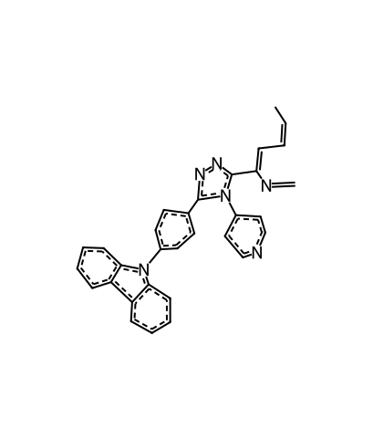 C=N/C(=C\C=C/C)c1nnc(-c2ccc(-n3c4ccccc4c4ccccc43)cc2)n1-c1ccncc1